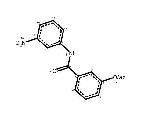 COc1cccc(C(=O)Nc2cccc([N+](=O)[O-])c2)c1